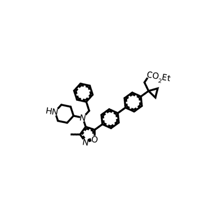 CCOC(=O)CC1(c2ccc(-c3ccc(-c4onc(C)c4N(Cc4ccccc4)C4CCNCC4)cc3)cc2)CC1